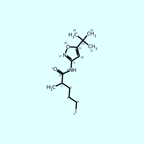 CC(CCCI)C(=O)Nc1cc(C(C)(C)C)on1